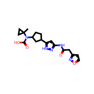 CC1(N(C(=O)O)C2CCC(c3cc(NC(=O)Cc4ccon4)n[nH]3)C2)CC1